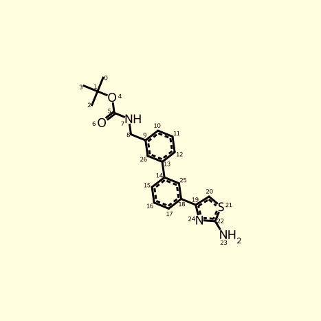 CC(C)(C)OC(=O)NCc1cccc(-c2cccc(-c3csc(N)n3)c2)c1